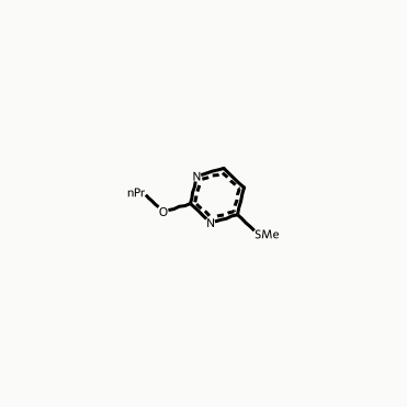 CCCOc1nccc(SC)n1